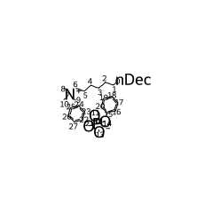 CCCCCCCCCCCCCCCC[N+](C)(C)C.O=P([O-])(Oc1ccccc1)Oc1ccccc1